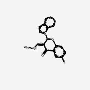 CC(C)(C)N/C=C1\C(=O)c2cc(F)ccc2OC1n1ccc2ccccc21